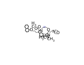 CCOC(=O)c1c(CCCOc2cccc3ccccc23)c2ccc(F)c3c2n1C/C=C\COC(CCN1CCOCC1)c1nn(C)c(C)c1-3